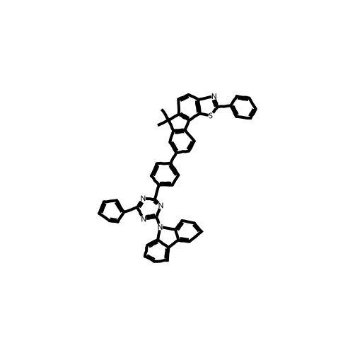 CC1(C)c2cc(-c3ccc(-c4nc(-c5ccccc5)nc(-n5c6ccccc6c6ccccc65)n4)cc3)ccc2-c2c1ccc1nc(-c3ccccc3)sc21